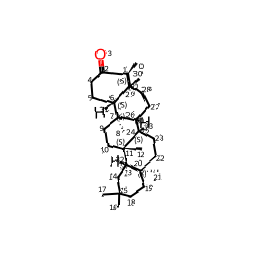 C[C@@H]1C(=O)CC[C@H]2[C@]3(C)CC[C@@]4(C)[C@H]5CC(C)(C)CC[C@]5(C)CC[C@@]4(C)[C@H]3CC[C@]21C